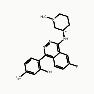 CN1CCC[C@@H](Nc2nnc(-c3ccc(C(F)(F)F)cc3O)c3ccc(F)cc23)C1